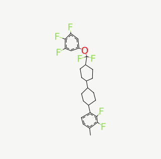 Cc1ccc(C2CCC(C3CCC(C(F)(F)Oc4cc(F)c(F)c(F)c4)CC3)CC2)c(F)c1F